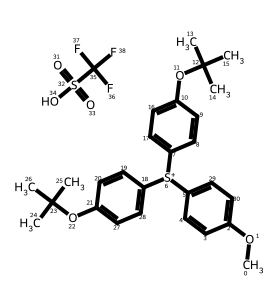 COc1ccc([S+](c2ccc(OC(C)(C)C)cc2)c2ccc(OC(C)(C)C)cc2)cc1.O=S(=O)(O)C(F)(F)F